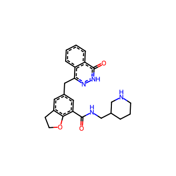 O=C(NCC1CCCNC1)c1cc(Cc2n[nH]c(=O)c3ccccc23)cc2c1OCC2